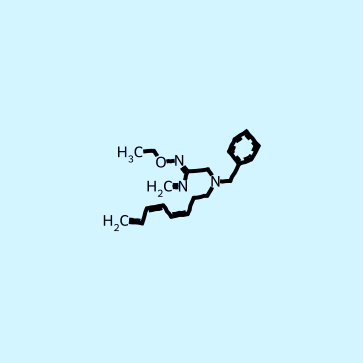 C=C/C=C\C=C/CCN(C/C(N=C)=N/OCC)Cc1ccccc1